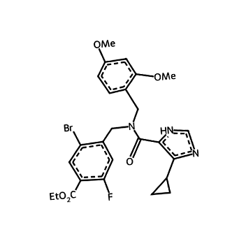 CCOC(=O)c1cc(Br)c(CN(Cc2ccc(OC)cc2OC)C(=O)c2[nH]cnc2C2CC2)cc1F